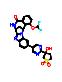 O=C1NC2CC(c3c(OC(F)F)cccc31)n1c2nc2ccc(-c3cnc(C4(O)CCS(=O)(=O)C4)nc3)cc21